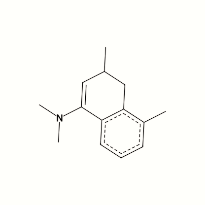 Cc1cccc2c1CC(C)C=C2N(C)C